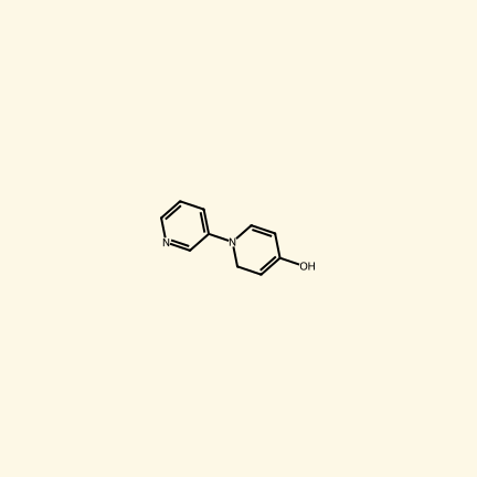 OC1=CCN(c2cccnc2)C=C1